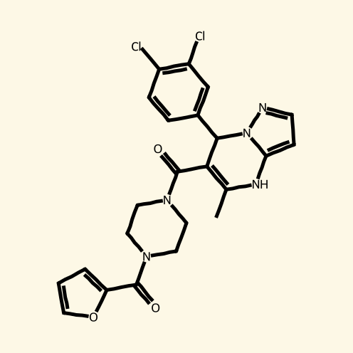 CC1=C(C(=O)N2CCN(C(=O)c3ccco3)CC2)C(c2ccc(Cl)c(Cl)c2)n2nccc2N1